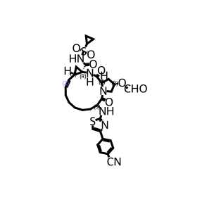 N#Cc1ccc(-c2csc(N[C@H]3CCCCC/C=C\[C@@H]4C[C@@]4(C(=O)NS(=O)(=O)C4CC4)NC(=O)[C@@H]4C[C@@H](OC=O)CN4C3=O)n2)cc1